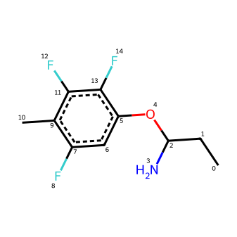 CCC(N)Oc1cc(F)c(C)c(F)c1F